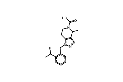 CC1c2nnn(Cc3ccccc3C(F)F)c2CCN1C(=O)O